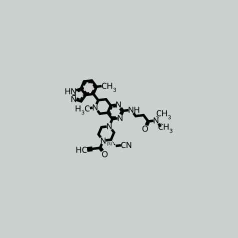 C#CC(=O)N1CCN(c2nc(NCCC(=O)N(C)C)nc3c2CN(C)C(c2c(C)ccc4[nH]ncc24)C3)C[C@@H]1CC#N